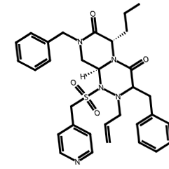 C=CCN1C(Cc2ccccc2)C(=O)N2[C@@H](CCC)C(=O)N(Cc3ccccc3)C[C@@H]2N1S(=O)(=O)Cc1ccncc1